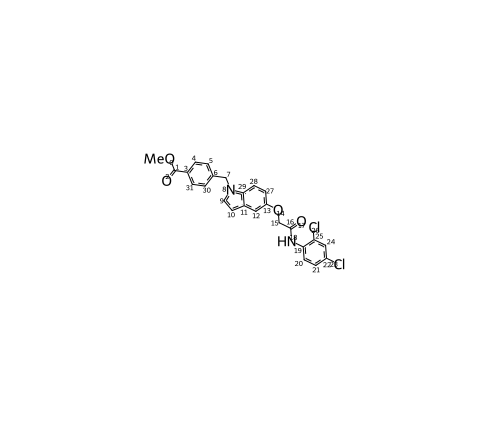 COC(=O)c1ccc(Cn2ccc3cc(OCC(=O)Nc4ccc(Cl)cc4Cl)ccc32)cc1